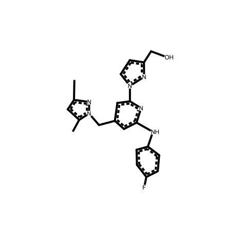 Cc1cc(C)n(Cc2cc(Nc3ccc(F)cc3)nc(-n3ccc(CO)n3)c2)n1